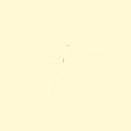 CC(C)CP(=[Se])(CC(C)C)CC(C)C